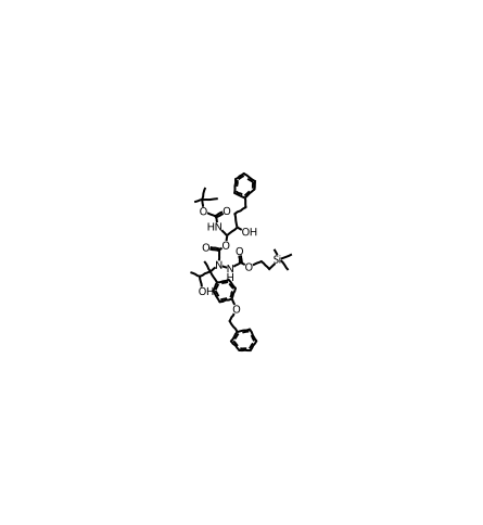 CC(O)C(C)(c1ccc(OCc2ccccc2)cc1)N(NC(=O)OCC[Si](C)(C)C)C(=O)OC(NC(=O)OC(C)(C)C)C(O)CCc1ccccc1